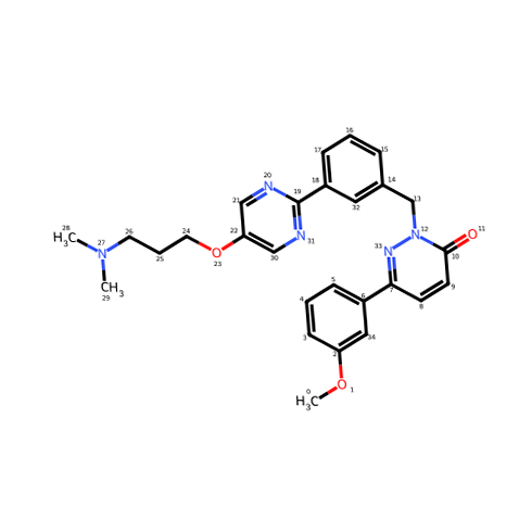 COc1cccc(-c2ccc(=O)n(Cc3cccc(-c4ncc(OCCCN(C)C)cn4)c3)n2)c1